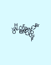 CC(C)(C)C(=O)NCc1ccc(F)c(C(=O)Nc2ccc(OCC(F)F)c(C(=O)Nc3ccc(Br)cc3)c2)c1Cl